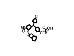 O=C(O)C(F)(F)F.O=[N+]([O-])c1ccc(C(c2ccc(Cl)cc2)c2ccc(Cl)cc2)cc1NC1Cc2ccccc2C1